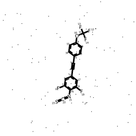 Fc1cc(C#Cc2ccc(OC(F)(F)F)cc2)cc(F)c1N=C=S